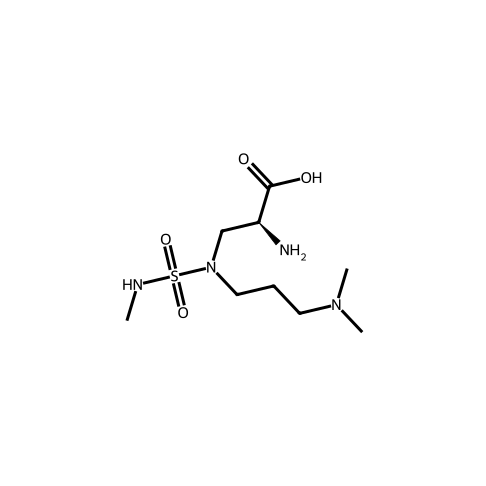 CNS(=O)(=O)N(CCCN(C)C)C[C@H](N)C(=O)O